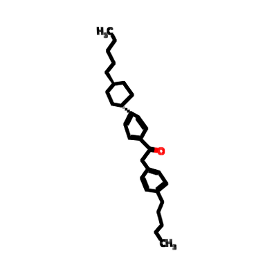 CCCCCc1ccc(CC(=O)c2ccc([C@H]3CC[C@H](CCCCC)CC3)cc2)cc1